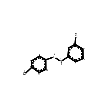 Clc1ccc(ONc2cccc(Cl)c2)cc1